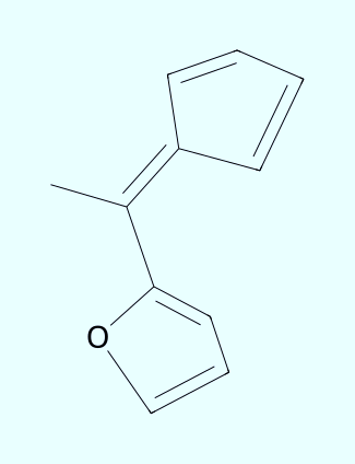 CC(=C1C=CC=C1)c1ccco1